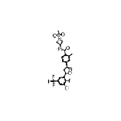 Cc1cc(C2=NOC(c3cc(C(F)(F)F)cc(Cl)c3F)C2)ccc1C(=O)NC1CN(S(C)(=O)=O)C1